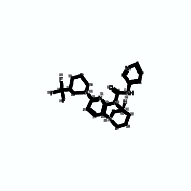 O=C(Nc1cccnc1)N1c2nc(N3CCCC(C(F)(F)F)C3)ccc2N2CCC[C@@H]1C2